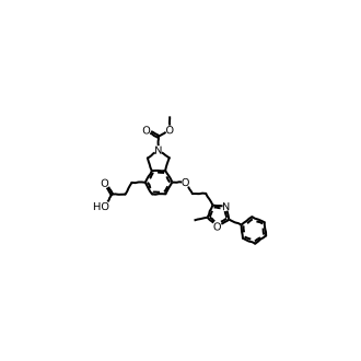 COC(=O)N1Cc2c(CCC(=O)O)ccc(OCCc3nc(-c4ccccc4)oc3C)c2C1